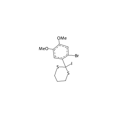 COc1cc(Br)c(C2(I)SCCCS2)cc1OC